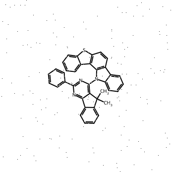 CC1(C)c2ccccc2-c2nc(-c3ccccc3)nc(-n3c4ccccc4c4ccc5sc6ccccc6c5c43)c21